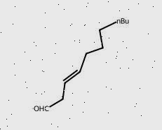 CCCCCCC/C=C/C[C]=O